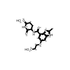 Cc1nc2c(C(=O)NC3CCC(=O)NC3=O)cc(OCCC(=O)O)cc2[nH]1.Cl